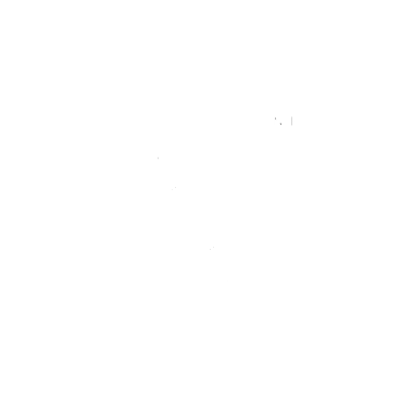 [NH]c1ccc2c(c1)C(=O)c1ccccc1C2=O